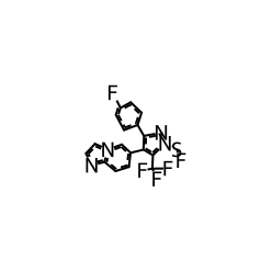 FSn1nc(-c2ccc(F)cc2)c(-c2ccc3nccn3c2)c1C(F)(F)F